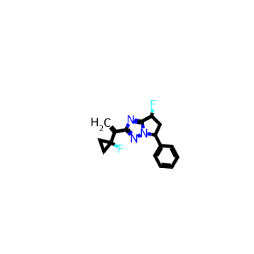 C=C(c1nc2n(n1)C(c1ccccc1)CC2F)C1(F)CC1